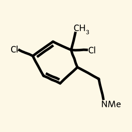 CNCC1C=CC(Cl)=CC1(C)Cl